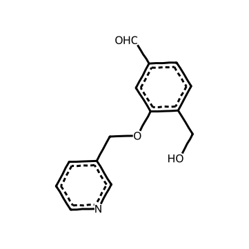 O=Cc1ccc(CO)c(OCc2cccnc2)c1